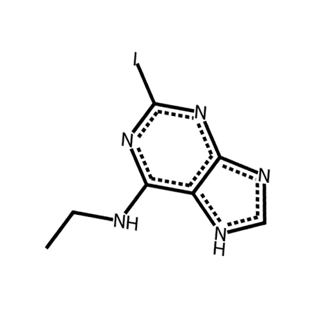 CCNc1nc(I)nc2nc[nH]c12